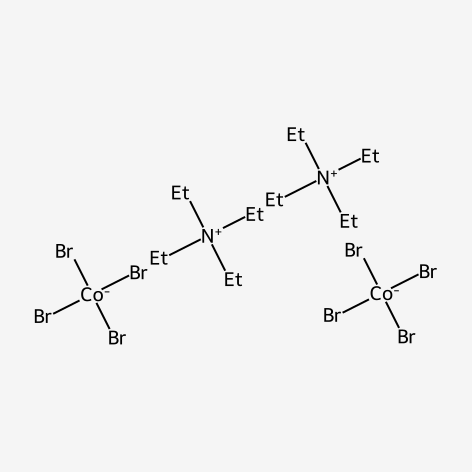 CC[N+](CC)(CC)CC.CC[N+](CC)(CC)CC.[Br][Co-]([Br])([Br])[Br].[Br][Co-]([Br])([Br])[Br]